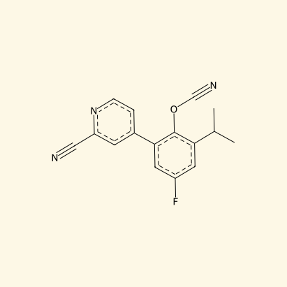 CC(C)c1cc(F)cc(-c2ccnc(C#N)c2)c1OC#N